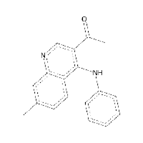 CC(=O)c1cnc2cc(C)ccc2c1Nc1ccccc1